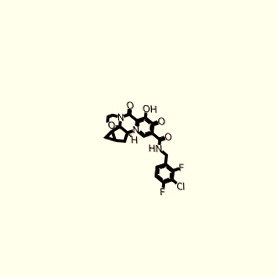 O=C(NCc1ccc(F)c(Cl)c1F)c1cn2c(c(O)c1=O)C(=O)N1CCCO[C@]13C1CC1C[C@H]23